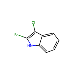 Clc1c(Br)[nH]c2ccccc12